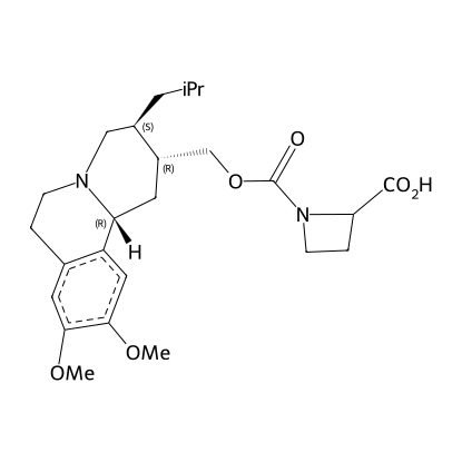 COc1cc2c(cc1OC)[C@H]1C[C@@H](COC(=O)N3CCC3C(=O)O)[C@H](CC(C)C)CN1CC2